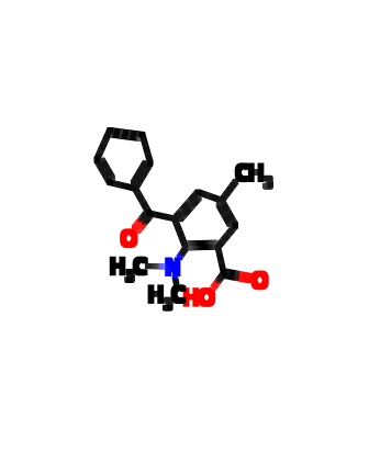 Cc1cc(C(=O)O)c(N(C)C)c(C(=O)c2ccccc2)c1